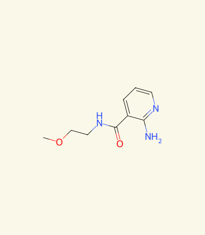 COCCNC(=O)c1cccnc1N